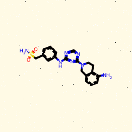 Nc1cccc2c1CCN(c1ncnc(Nc3cccc(CS(N)(=O)=O)c3)n1)C2